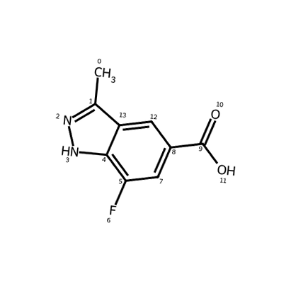 Cc1n[nH]c2c(F)cc(C(=O)O)cc12